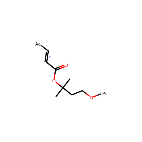 CC(=O)/C=C/C(=O)OC(C)(C)CCOC(C)C